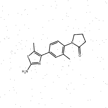 Cc1cc(-c2nc(N)sc2C)ccc1N1CCCC1=O